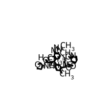 CC[C@@H]1CN(Cc2cc(C(c3ccc4c(nnn4CC)c3C)C(C)(C)C(=O)N[C@H]3CCOC3)ccc2C)S(=O)(=O)c2cccnc2O1